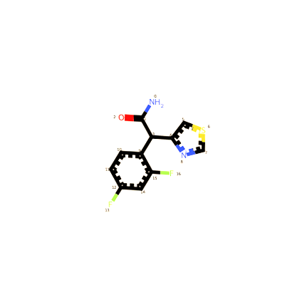 NC(=O)C(c1cscn1)c1ccc(F)cc1F